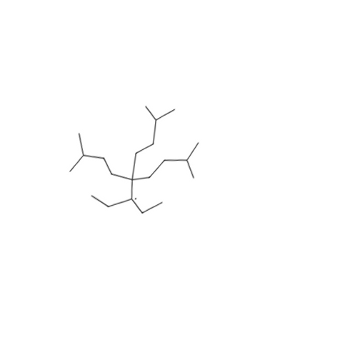 CC[C](CC)C(CCC(C)C)(CCC(C)C)CCC(C)C